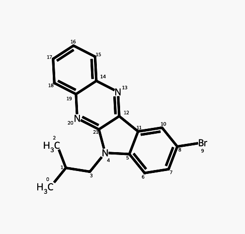 CC(C)Cn1c2ccc(Br)cc2c2nc3ccccc3nc21